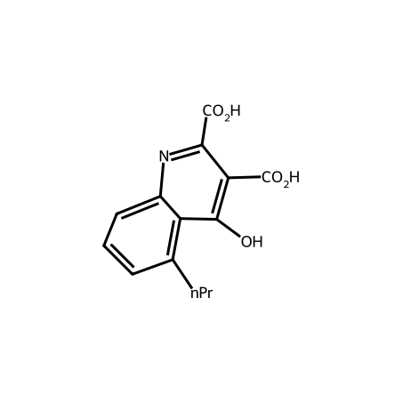 CCCc1cccc2nc(C(=O)O)c(C(=O)O)c(O)c12